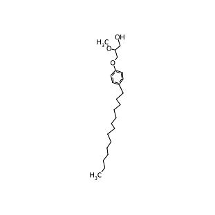 CCCCCCCCCCCCCCc1ccc(OCC(CO)OC)cc1